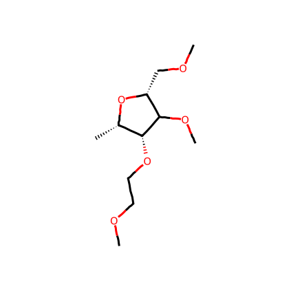 COCCO[C@H]1C(OC)[C@@H](COC)O[C@H]1C